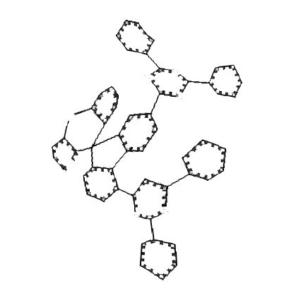 c1ccc(-c2cc(-c3cccc4c3-c3ccc(-c5nc(-c6ccccc6)nc(-c6ccccc6)n5)cc3C43c4ccccc4Oc4ccccc43)nc(-c3ccccc3)n2)cc1